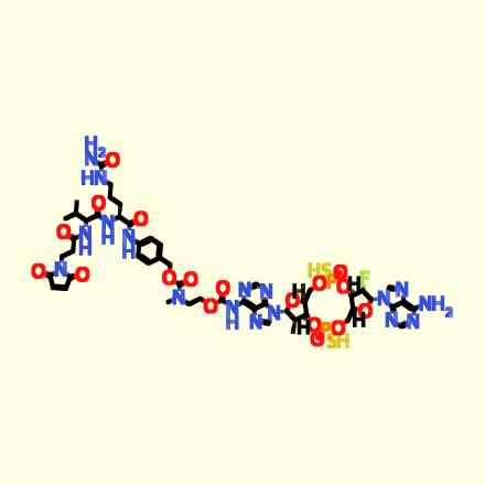 CC(C)[C@H](NC(=O)CCN1C(=O)C=CC1=O)C(=O)N[C@@H](CCCNC(N)=O)C(=O)Nc1ccc(COC(=O)N(C)CCOC(=O)Nc2ncnc3c2ncn3[C@@H]2O[C@@H]3CO[P@](=O)(S)O[C@H]4[C@@H](F)[C@H](n5cnc6c(N)ncnc65)O[C@@H]4CO[P@@](=O)(S)O[C@H]3[C@H]2C)cc1